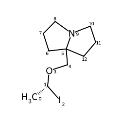 C[C@@H](I)OCC12CCCN1CCC2